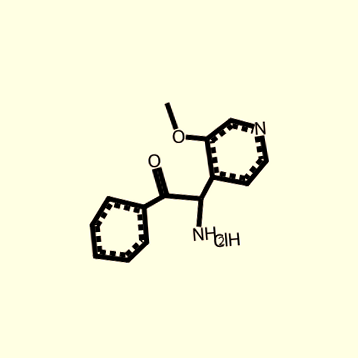 COc1cnccc1C(N)C(=O)c1ccccc1.Cl